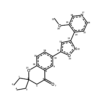 CCC1(CC)CC(=O)c2cc(-c3cc(-c4ccncc4OC)no3)ccc2O1